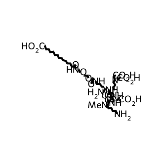 CN[C@@H](CCCCN)C(=O)N[C@@H](CCC(=O)O)C(=O)N[C@@H](CCCCN(CC(=O)O)CC(=O)O)C(=O)N[C@@H](CCCCNC(=O)COCCOCCNC(=O)CCCCCCCCCCCCCCC(=O)O)C(N)=O